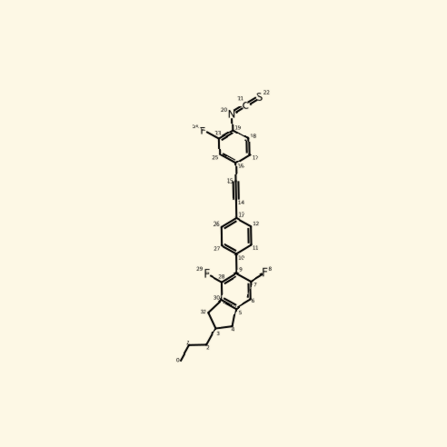 CCCC1Cc2cc(F)c(-c3ccc(C#Cc4ccc(N=C=S)c(F)c4)cc3)c(F)c2C1